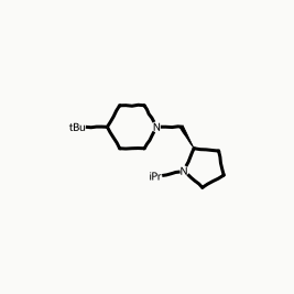 CC(C)N1CCC[C@@H]1CN1CCC(C(C)(C)C)CC1